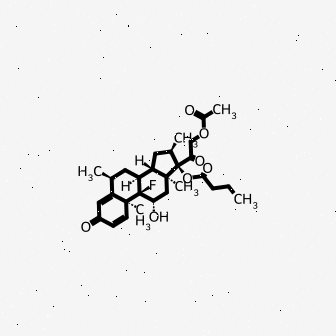 CCCC(=O)O[C@]1(C(=O)COC(C)=O)[C@H](C)C[C@H]2[C@@H]3C[C@H](C)C4=CC(=O)C=C[C@]4(C)[C@@]3(F)[C@@H](O)C[C@@]21C